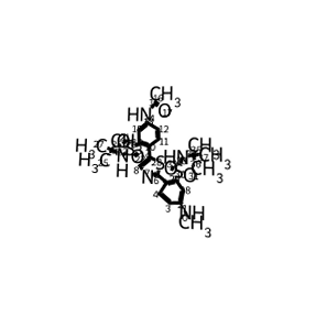 CNc1ccc(-c2ncc(-c3ccc(NC(C)=O)cc3S(=O)(=O)NC(C)(C)C)s2)c(S(=O)(=O)NC(C)(C)C)c1